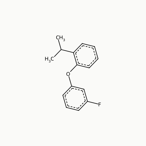 CC(C)c1ccccc1Oc1cccc(F)c1